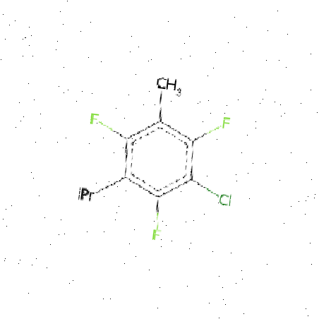 Cc1c(F)c(Cl)c(F)c(C(C)C)c1F